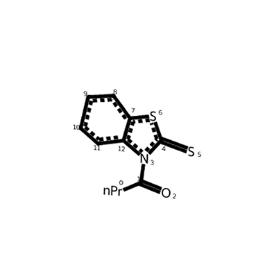 CCCC(=O)n1c(=S)sc2ccccc21